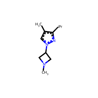 Cc1cn(C2CN(C)C2)nc1C(C)C